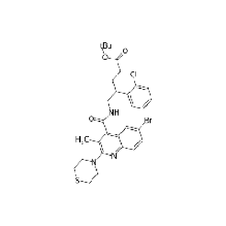 Cc1c(N2CCSCC2)nc2ccc(Br)cc2c1C(=O)NCC(CCC(=O)OC(C)(C)C)c1ccccc1Cl